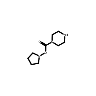 O=C(ON1C[CH]CC1)N1CCNCC1